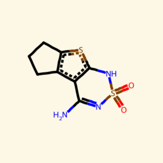 NC1=NS(=O)(=O)Nc2sc3c(c21)CCC3